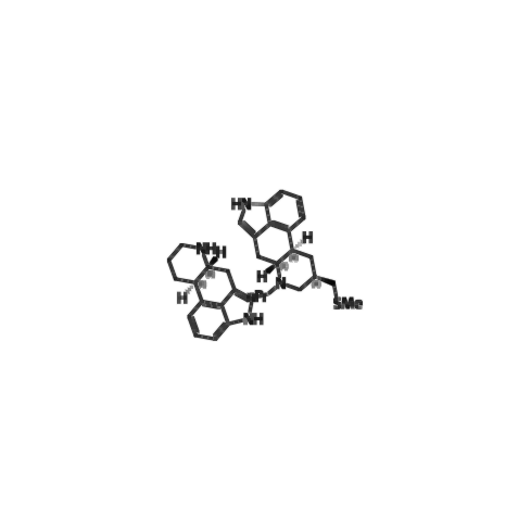 CCCN1C[C@H](CSC)C[C@@H]2c3cccc4[nH]cc(c34)C[C@H]21.c1cc2c3c(c[nH]c3c1)C[C@H]1NCCC[C@H]21